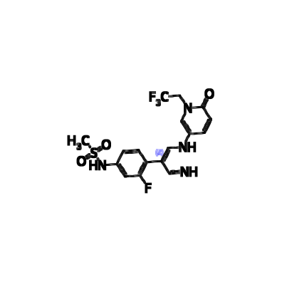 CS(=O)(=O)Nc1ccc(/C(C=N)=C/Nc2ccc(=O)n(CC(F)(F)F)c2)c(F)c1